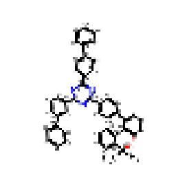 CC1(C)Oc2cccc(-c3ccc(-c4nc(-c5ccc(-c6ccccc6)cc5)nc(-c5cccc(-c6ccccc6)c5)n4)cc3)c2-c2ccccc21